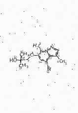 Cc1cnn2c(C)c(OCC(C)(C)O)cc(Br)c12